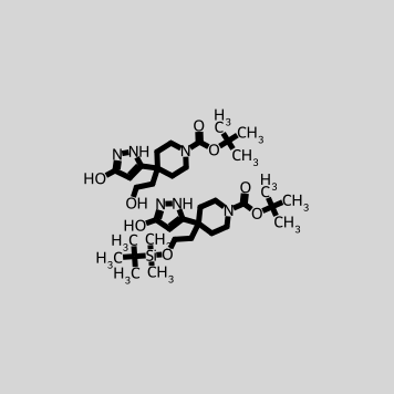 CC(C)(C)OC(=O)N1CCC(CCO)(c2cc(O)n[nH]2)CC1.CC(C)(C)OC(=O)N1CCC(CCO[Si](C)(C)C(C)(C)C)(c2cc(O)n[nH]2)CC1